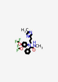 CNC(=O)C(c1ccccc1)N(CCCc1cnc(C)cn1)c1ccc(OC(F)F)c(OC(F)F)c1